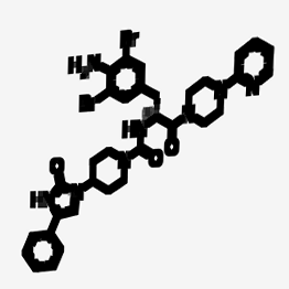 Nc1c(Br)cc(C[C@@H](NC(=O)N2CCC(n3cc(-c4ccccc4)[nH]c3=O)CC2)C(=O)N2CCN(c3ccccn3)CC2)cc1Br